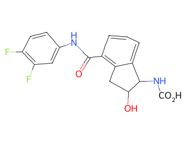 O=C(O)NC1c2cccc(C(=O)Nc3ccc(F)c(F)c3)c2CC1O